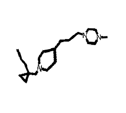 CCCC1(CN2CCC(CCCN3CCN(C)CC3)CC2)CC1